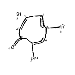 CCCc1cccc(=O)c(O)c1.[KH]